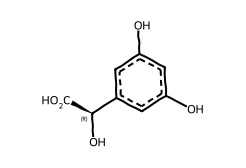 O=C(O)[C@H](O)c1cc(O)cc(O)c1